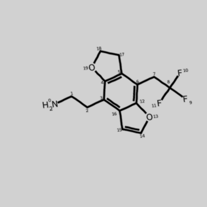 NCCc1c2c(c(CC(F)(F)F)c3occc13)CCO2